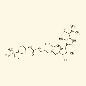 CC(C)N(CCCNC(=O)NC1CCC(C(C)(C)C)CC1)C[C@H]1O[C@@H](N2CNC3C(N(C)C)NCNC32)[C@H](O)[C@@H]1O